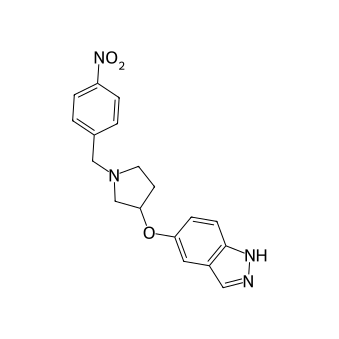 O=[N+]([O-])c1ccc(CN2CCC(Oc3ccc4[nH]ncc4c3)C2)cc1